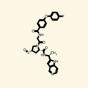 C[C@@H](NC(=O)[C@@H]1C[C@@H]([S+]=O)CN1C(=O)CNC(=O)c1ccc(Oc2ccc(F)cc2)cc1)c1cc2cnccc2[nH]1